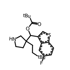 CC(C)(C)CCC1(C(OC(=O)C(C)(C)C)c2csc3ccc(F)cc23)CCNC1